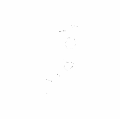 COC(=O)c1cccc(Cn2ncc3c2CN(C(=O)OC(C)(C)C)C3)c1